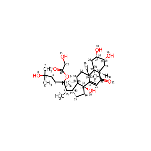 C[C@H](C(CCC(C)(C)O)OC(=O)CO)[C@H]1CC[C@@]2(O)C3=CC(=O)[C@@H]4C[C@@H](O)[C@@H](O)C[C@]4(C)[C@H]3CC[C@]12C